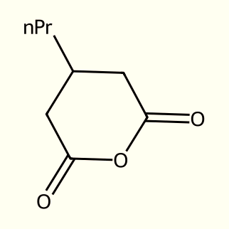 CCCC1CC(=O)OC(=O)C1